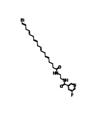 CCC=CCC=CCC=CCC=CCC=CCCCC(=O)NCCNC(=O)c1cncc(F)c1